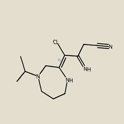 CC(C)N1CCCN/C(=C(/Cl)C(=N)CC#N)C1